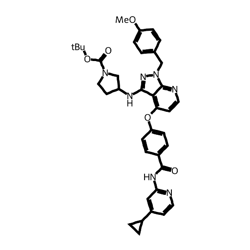 COc1ccc(Cn2nc(NC3CCN(C(=O)OC(C)(C)C)C3)c3c(Oc4ccc(C(=O)Nc5cc(C6CC6)ccn5)cc4)ccnc32)cc1